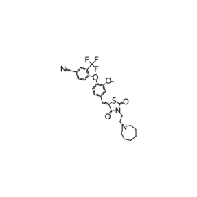 COc1cc(C=C2SC(=O)N(CCN3CCCCCC3)C2=O)ccc1Oc1ccc(C#N)cc1C(F)(F)F